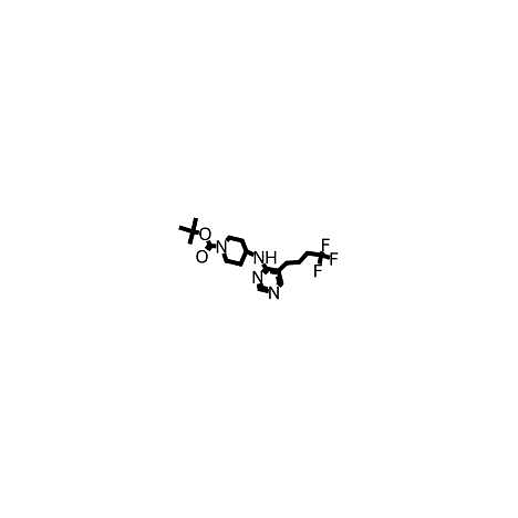 CC(C)(C)OC(=O)N1CCC(Nc2ncncc2CCCC(F)(F)F)CC1